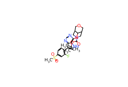 CC(C)(C)OC(=O)N1CC2COCC(C1)C2Oc1ncnc2c(-c3ccc(S(C)(=O)=O)cc3F)c[nH]c12